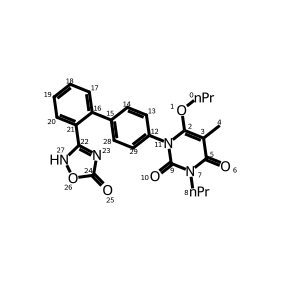 CCCOc1c(C)c(=O)n(CCC)c(=O)n1-c1ccc(-c2ccccc2-c2nc(=O)o[nH]2)cc1